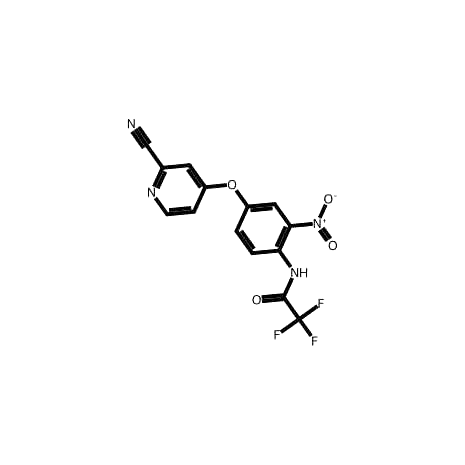 N#Cc1cc(Oc2ccc(NC(=O)C(F)(F)F)c([N+](=O)[O-])c2)ccn1